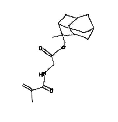 C=C(C)C(=O)NCC(=O)OC1(C)C2CC3CC(C2)CC1C3